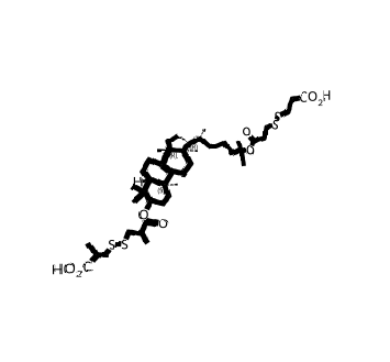 CC(CSSCC(C)C(=O)OC1CC[C@]2(C)C3=C(CC[C@H]2C1(C)C)[C@]1(C)CC[C@H]([C@H](C)CCCC(C)(C)OC(=O)CCSSCCC(=O)O)[C@@]1(C)CC3)C(=O)O